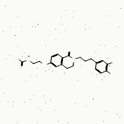 NC(=O)N(O)CCOc1ccc2c(c1)CCN(CCCc1ccc(F)c(F)c1)C2=O